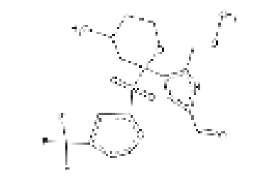 COCn1nc(C=O)cc1C1(S(=O)(=O)c2cccc(C(F)(F)F)c2)CC(C)CCO1